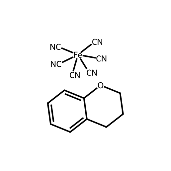 N#[C][Fe]([C]#N)([C]#N)([C]#N)([C]#N)[C]#N.c1ccc2c(c1)CCCO2